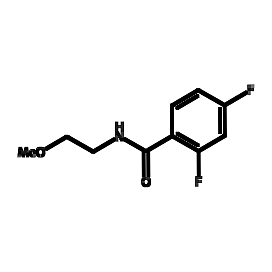 COCCNC(=O)c1ccc(F)cc1F